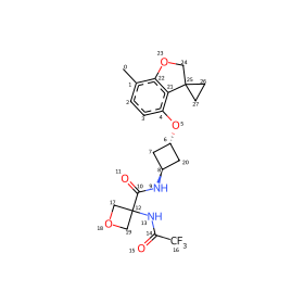 Cc1ccc(O[C@H]2C[C@H](NC(=O)C3(NC(=O)C(F)(F)F)COC3)C2)c2c1OCC21CC1